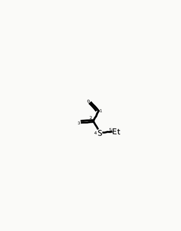 C=CC(=C)SCC